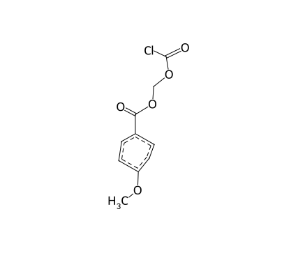 COc1ccc(C(=O)OCOC(=O)Cl)cc1